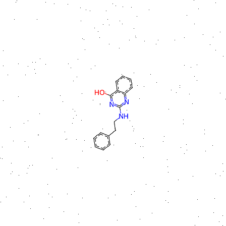 Oc1nc(NCCc2ccccc2)nc2ccccc12